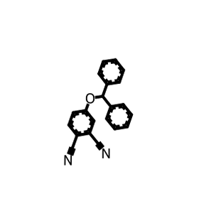 N#Cc1ccc(OC(c2ccccc2)c2ccccc2)cc1C#N